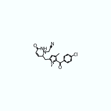 Cc1cc(CC2C=CC(=O)NN2CC#N)n(C)c1C(=O)c1ccc(Cl)cc1